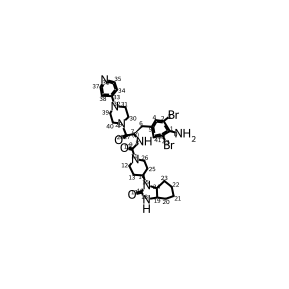 Nc1c(Br)cc(C[C@@H](NC(=O)N2CCC(N3C(=O)NC4CCCCC43)CC2)C(=O)N2CCN(c3ccncc3)CC2)cc1Br